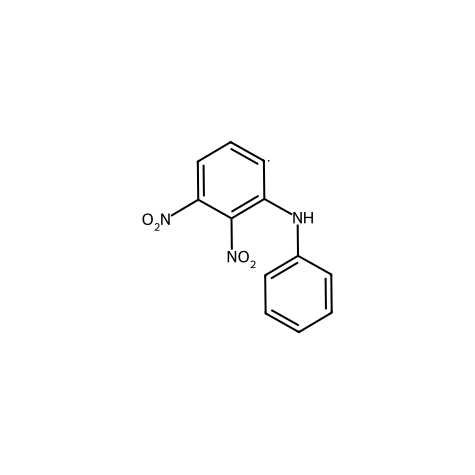 O=[N+]([O-])c1cc[c]c(Nc2ccccc2)c1[N+](=O)[O-]